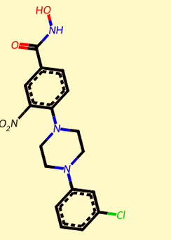 O=C(NO)c1ccc(N2CCN(c3cccc(Cl)c3)CC2)c([N+](=O)[O-])c1